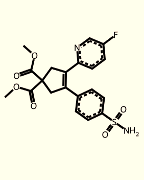 COC(=O)C1(C(=O)OC)CC(c2ccc(S(N)(=O)=O)cc2)=C(c2ccc(F)cn2)C1